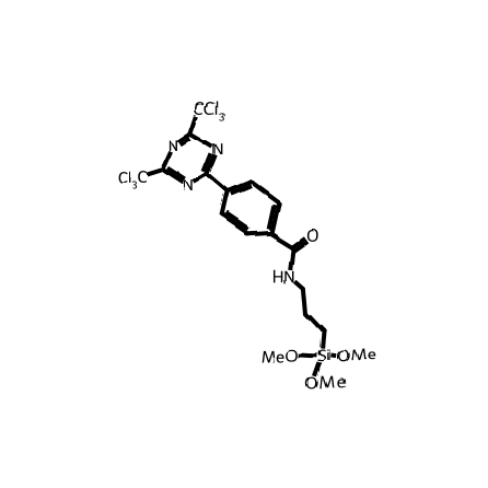 CO[Si](CCCNC(=O)c1ccc(-c2nc(C(Cl)(Cl)Cl)nc(C(Cl)(Cl)Cl)n2)cc1)(OC)OC